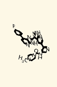 CN1CCN(C(=O)Nc2cncc(-c3cnc4[nH]nc(-c5nc6c(-c7ccc(F)cc7)ccnc6[nH]5)c4c3)c2)CC1